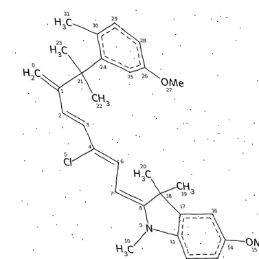 C=C(/C=C/C(Cl)=C/C=C1/N(C)c2ccc(OC)cc2C1(C)C)C(C)(C)c1cc(OC)ccc1C